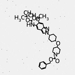 COc1cc2nn([C@H]3CC[C@H](OC4CCN(C(=O)OCc5ccccc5)CC4)CC3)cc2cc1NC(=O)OC(C)(C)C